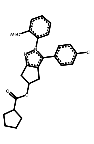 COc1ccccc1-n1nc2c(c1-c1ccc(Cl)cc1)CC(OC(=O)C1CCCC1)C2